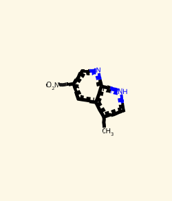 Cc1c[nH]c2ncc([N+](=O)[O-])cc12